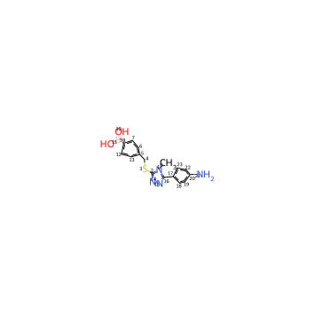 Cn1c(SCc2ccc(B(O)O)cc2)nnc1-c1ccc(N)cc1